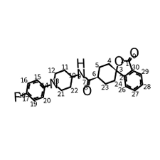 O=C1O[C@]2(CC[C@H](C(=O)NC3CCN(c4ccc(F)cc4)CC3)CC2)c2ccccc21